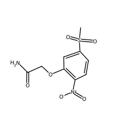 CS(=O)(=O)c1ccc([N+](=O)[O-])c(OCC(N)=O)c1